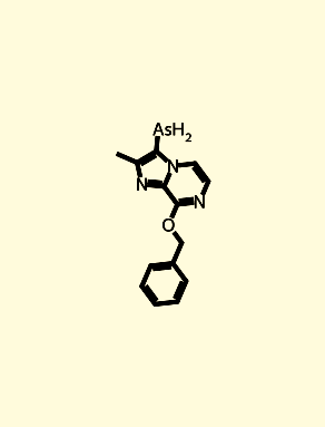 Cc1nc2c(OCc3ccccc3)nccn2c1[AsH2]